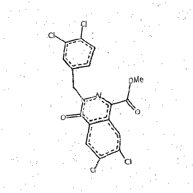 COC(=O)c1nn(Cc2ccc(Cl)c(Cl)c2)c(=O)c2cc(Cl)c(Cl)cc12